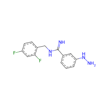 N=C(NCc1ccc(F)cc1F)c1cccc(NN)c1